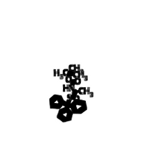 C[C@H](NC(=O)OC(C)(C)C)C(=O)SC(c1ccccc1)(c1ccccc1)c1ccccc1